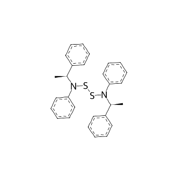 C[C@@H](c1ccccc1)N(SSN(c1ccccc1)[C@@H](C)c1ccccc1)c1ccccc1